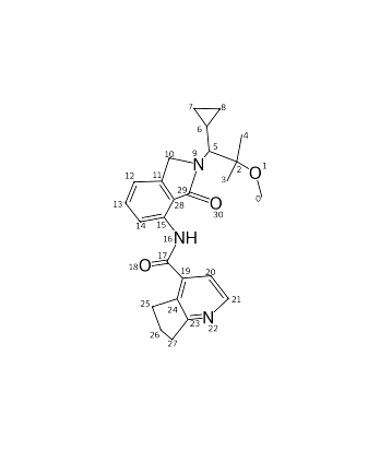 COC(C)(C)C(C1CC1)N1Cc2cccc(NC(=O)c3ccnc4c3CCC4)c2C1=O